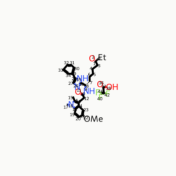 CCC(=O)CCCCC[C@H](NC(=O)Cc1c(C)n(C)c2ccc(OC)cc12)c1ncc(-c2ccccc2)[nH]1.O=C(O)C(F)(F)F